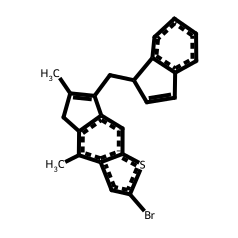 CC1=C(CC2C=Cc3ccccc32)c2cc3sc(Br)cc3c(C)c2C1